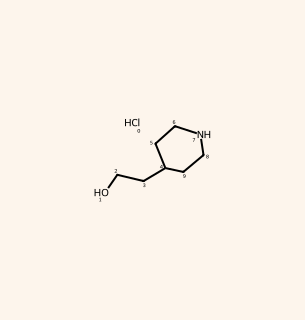 Cl.OCCC1CCNCC1